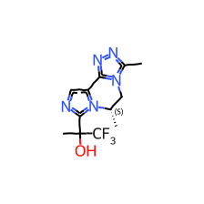 Cc1nnc2n1C[C@H](C)n1c-2cnc1C(C)(O)C(F)(F)F